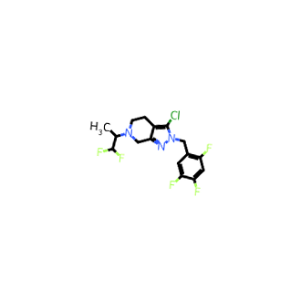 CC(C(F)F)N1CCc2c(nn(Cc3cc(F)c(F)cc3F)c2Cl)C1